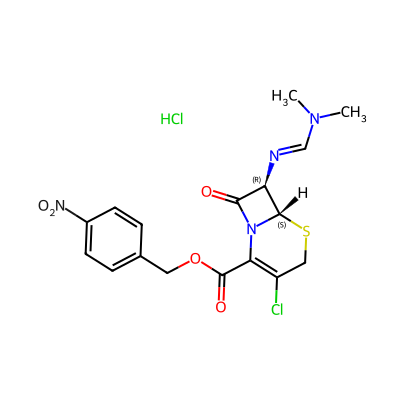 CN(C)C=N[C@@H]1C(=O)N2C(C(=O)OCc3ccc([N+](=O)[O-])cc3)=C(Cl)CS[C@@H]12.Cl